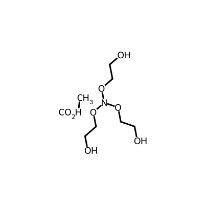 CC(=O)O.OCCON(OCCO)OCCO